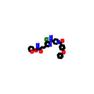 O=C(/C=C/c1cnc(NC2CCN(C(=O)c3ccc(Oc4ccccc4)cc3)CC2)c(Cl)c1)NOC1CCCCO1